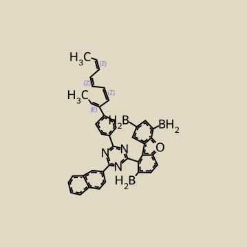 Bc1cc(B)c2oc3ccc(B)c(-c4nc(-c5ccc(C(/C=C\C=C/C=C\C)=C/C)cc5)nc(-c5ccc6ccccc6c5)n4)c3c2c1